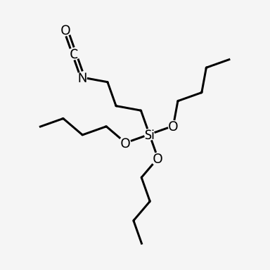 CCCCO[Si](CCCN=C=O)(OCCCC)OCCCC